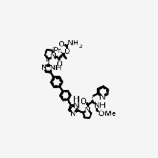 COCN[C@@H](Cc1ccccn1)C(=O)N1CCCC1c1ncc(-c2ccc(-c3ccc(-c4cnc([C@@H]5CCCN5C(=O)[C@@](C)(OC(N)=O)C(C)C)[nH]4)cc3)cc2)[nH]1